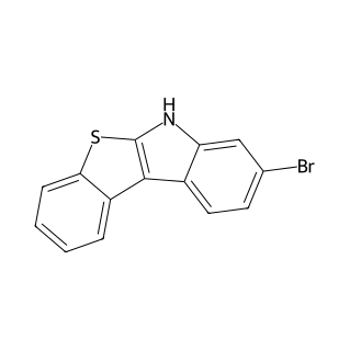 Brc1ccc2c(c1)[nH]c1sc3ccccc3c12